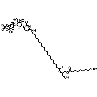 CCCCCCCCCCCCCCCCCC(=O)OCC(CO)OC(=O)CCCCCCCCCCCCCCCCCNc1ccn([C@@H]2O[C@H](C(O)OP(=O)(O)OP(=O)(O)O)[C@@H](O)[C@@H]2O)c(=O)n1